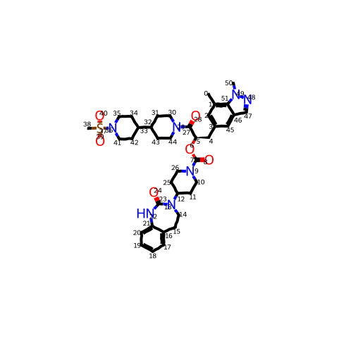 Cc1cc(C[C@@H](OC(=O)N2CCC(N3CCc4ccccc4NC3=O)CC2)C(=O)N2CCC(C3CCN(S(C)(=O)=O)CC3)CC2)cc2cnn(C)c12